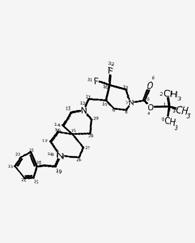 CC(C)(C)OC(=O)N1CCC(CN2CCC3(CCN(Cc4ccccc4)CC3)CC2)C(F)(F)C1